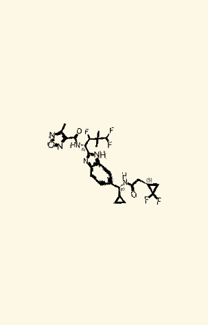 Cc1nonc1C(=O)N[C@@H](c1nc2ccc([C@H](NC(=O)C[C@H]3CC3(F)F)C3CC3)cc2[nH]1)C(F)C(C)(C)C(F)F